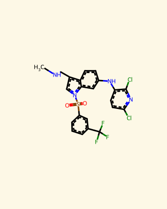 CNCc1cn(S(=O)(=O)c2cccc(C(F)(F)F)c2)c2cc(Nc3ccc(Cl)nc3Cl)ccc12